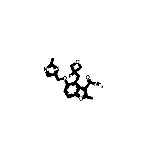 Cc1ncc(COc2ccc3oc(C)c(C(N)=O)c3c2CC2(F)COC2)s1